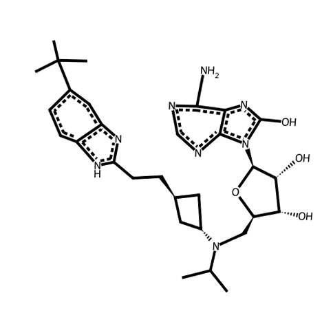 CC(C)N(C[C@H]1O[C@@H](n2c(O)nc3c(N)ncnc32)[C@H](O)[C@@H]1O)[C@H]1C[C@H](CCc2nc3cc(C(C)(C)C)ccc3[nH]2)C1